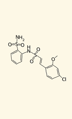 COc1cc(Cl)ccc1/C=C/S(=O)(=O)Nc1ccccc1S(N)(=O)=O